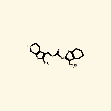 CCOC(=O)c1c(NC(=O)NCc2c(C)sc3c2CCNC3)sc2c1CCCC2